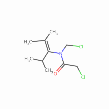 CC(C)=C(C(C)C)N(CCl)C(=O)CCl